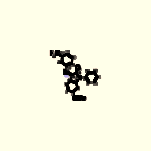 COc1ccc2c(c1)N(c1ccccc1)C(=O)/C2=N\c1cccc(C(F)(F)F)c1